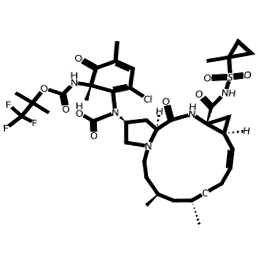 CC1=CC(Cl)=C(N(C(=O)O)[C@@H]2C[C@H]3C(=O)N[C@]4(C(=O)NS(=O)(=O)C5(C)CC5)C[C@H]4/C=C\CC[C@H](C)C[C@@H](C)CCN3C2)[C@](C)(NC(=O)OC(C)(C)C(F)(F)F)C1=O